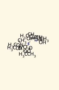 CCCN(C(=O)OC(C)(C)C)c1cc(/C=C/C[C@@H]2OC(C)(C)O[C@@H]2[C@H](C)/C=C\[C@@H](C)[C@H](C)O)c2c(c1)OC(C)(C)OC2=O